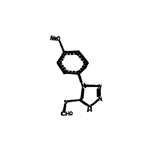 COc1ccc(N2N=NNC2SC=O)cc1